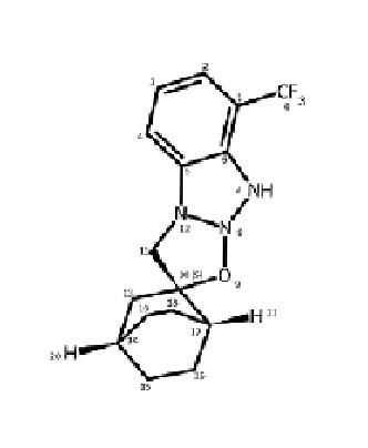 FC(F)(F)c1cccc2c1NN1O[C@@]3(CN21)C[C@H]1CC[C@@H]3CC1